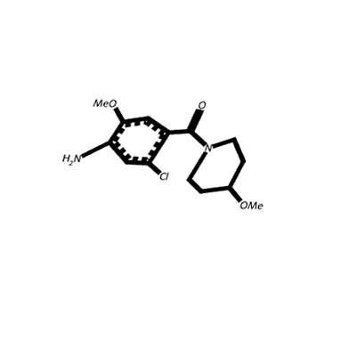 COc1cc(C(=O)N2CCC(OC)CC2)c(Cl)cc1N